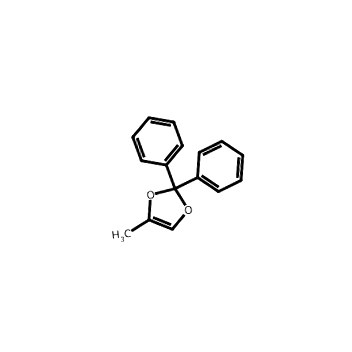 CC1=COC(c2ccccc2)(c2ccccc2)O1